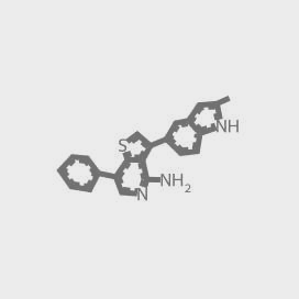 Cc1cc2cc(-c3csc4c(-c5ccccc5)cnc(N)c34)ccc2[nH]1